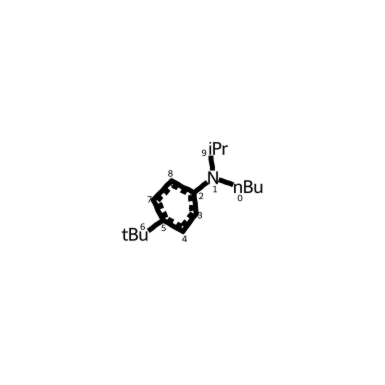 CCCCN(c1ccc(C(C)(C)C)cc1)C(C)C